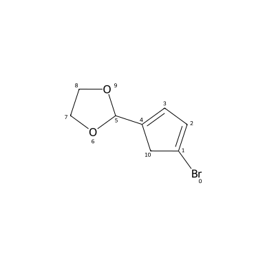 BrC1=CC=C(C2OCCO2)C1